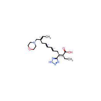 C/C=C(\C/C=C/C=C/C[C@H](c1nn[nH]n1)[C@H](CC)C(=O)O)CN1CCOCC1